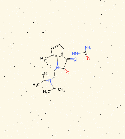 Cc1cccc2c1N(CCN(C(C)C)C(C)C)C(=O)/C2=N/NC(N)=O